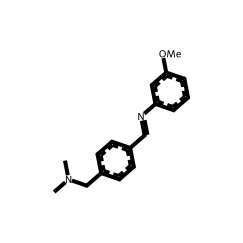 COc1cccc(/N=C/c2ccc(CN(C)C)cc2)c1